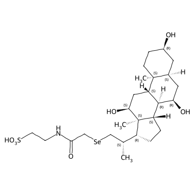 C[C@H](C[Se]CC(=O)NCCS(=O)(=O)O)[C@H]1CC[C@H]2[C@@H]3[C@H](O)C[C@@H]4C[C@H](O)CC[C@]4(C)[C@H]3C[C@H](O)[C@]12C